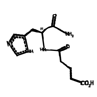 NC(=O)[C@H](Cc1cnc[nH]1)NC(=O)CCCC(=O)O